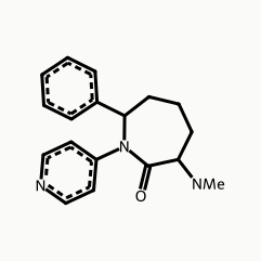 CNC1CCCC(c2ccccc2)N(c2ccncc2)C1=O